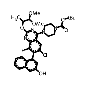 COC(OC)C(C)Oc1nc(N2CCN(C(=O)OC(C)(C)C)CC2)c2cc(Cl)c(-c3cc(O)cc4ccccc34)c(F)c2n1